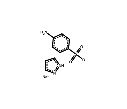 Nc1ccc(S(=O)(=O)[O-])cc1.[Na+].c1cn[nH]c1